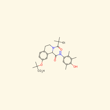 CCC(C)(C)C(=O)N1CCc2ccc(OC(C)(C)C(=O)O)cc2C1C(=O)Nc1cc(C)c(O)c(C)c1C